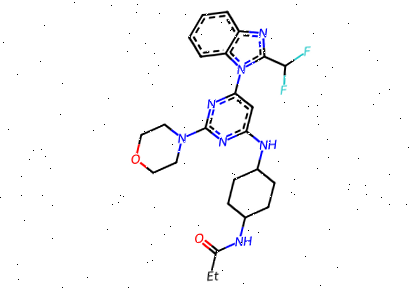 CCC(=O)NC1CCC(Nc2cc(-n3c(C(F)F)nc4ccccc43)nc(N3CCOCC3)n2)CC1